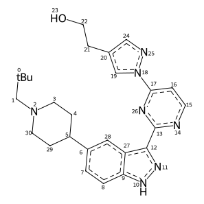 CC(C)(C)CN1CCC(c2ccc3[nH]nc(-c4nccc(-n5cc(CCO)cn5)n4)c3c2)CC1